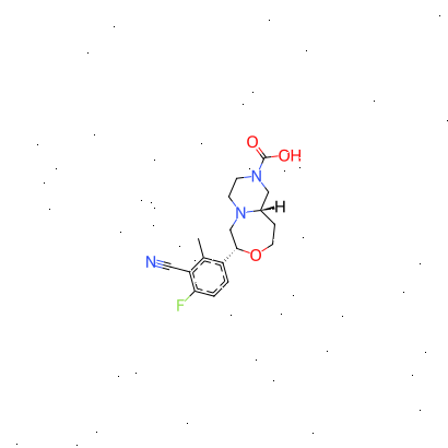 Cc1c([C@@H]2CN3CCN(C(=O)O)C[C@@H]3CCO2)ccc(F)c1C#N